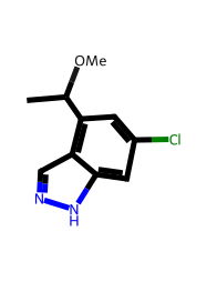 COC(C)c1cc(Cl)cc2[nH]ncc12